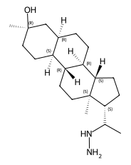 CC(NN)[C@H]1CC[C@H]2[C@@H]3CC[C@@H]4C[C@](C)(O)CC[C@@H]4[C@H]3CC[C@]12C